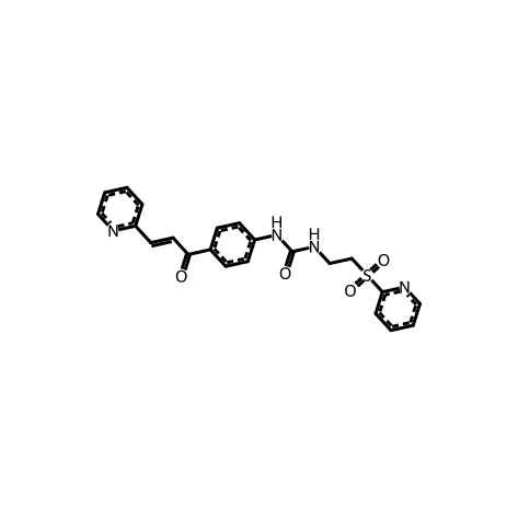 O=C(NCCS(=O)(=O)c1ccccn1)Nc1ccc(C(=O)C=Cc2ccccn2)cc1